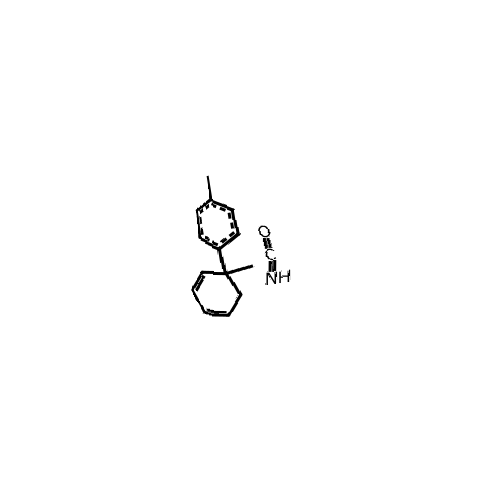 Cc1ccc(C2(C)C=CC=CC2)cc1.N=C=O